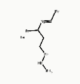 BBBCCC(N=CC(C)C)C(C)C.[Fe]